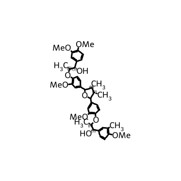 COc1ccc([C@H](O)[C@@H](C)Oc2ccc(C3OC(c4ccc(O[C@H](C)[C@@H](O)c5ccc(OC)c(OC)c5)c(OC)c4)[C@H](C)[C@H]3C)cc2OC)cc1C